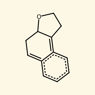 C1=c2ccccc2=C2CCOC2C1